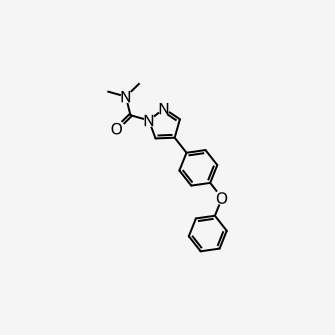 CN(C)C(=O)n1cc(-c2ccc(Oc3ccccc3)cc2)cn1